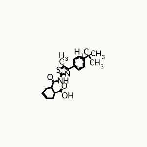 Cc1sc(NC(=O)C2CC=CCC2C(=O)O)nc1-c1ccc(C(C)(C)C)cc1